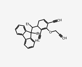 C#CCOC1=C(C#C)C(C(CC)C2(C(C)(C)C)c3ccccc3-c3ccccc32)CC=C1C#C